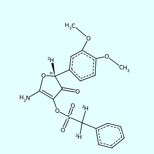 [2H]C([2H])(c1ccccc1)S(=O)(=O)OC1=C(N)O[C@]([2H])(c2ccc(OC)c(OC)c2)C1=O